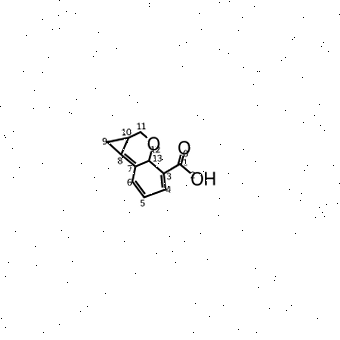 O=C(O)C1=CC=CC2=C3CC3COC12